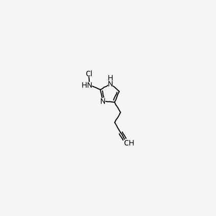 C#CCCc1c[nH]c(NCl)n1